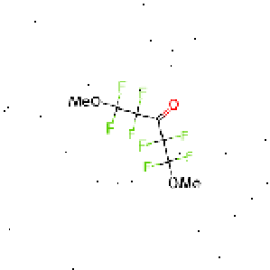 COC(F)(F)C(F)(F)C(=O)C(F)(F)C(F)(F)OC